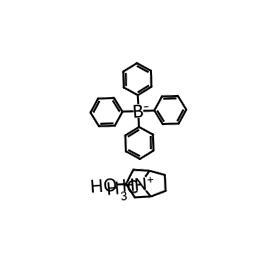 C[NH+]1C2CCC1CC(O)C2.c1ccc([B-](c2ccccc2)(c2ccccc2)c2ccccc2)cc1